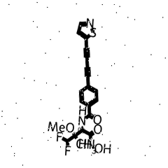 COC(C)(C(F)F)[C@H](NC(=O)c1ccc(C#CC#Cc2ccns2)cc1)C(=O)NO